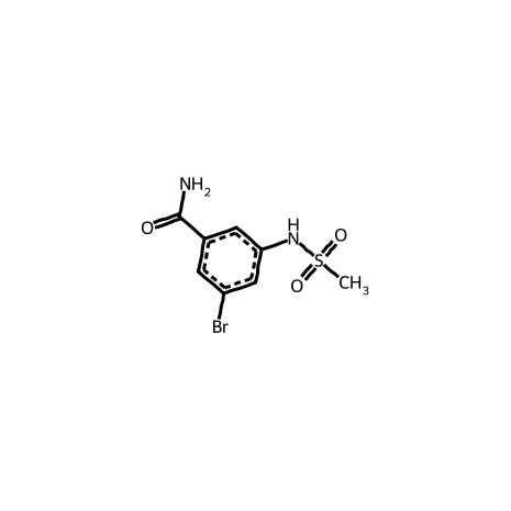 CS(=O)(=O)Nc1cc(Br)cc(C(N)=O)c1